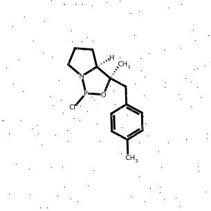 Cc1ccc(C[C@@]2(C)OP(Cl)N3CCC[C@H]32)cc1